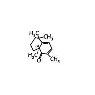 CC1=CC=C2C(C)(C)CCC[C@]2(C)C1=O